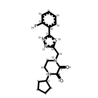 O=C1C(=O)N(C2CCCC2)CCN1Cc1nnc(-c2ccccc2F)s1